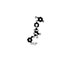 O=C(O)c1cccc(CSc2nc3nc(N4CCC(Oc5cc(F)ccc5Br)CC4)sc3c(=O)[nH]2)c1